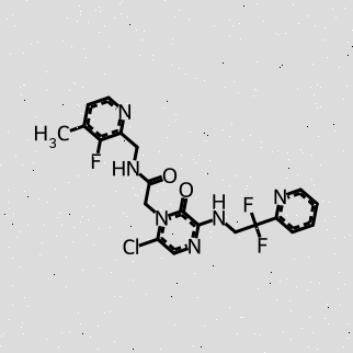 Cc1ccnc(CNC(=O)Cn2c(Cl)cnc(NCC(F)(F)c3ccccn3)c2=O)c1F